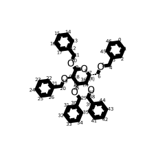 c1ccc(COC[C@H]2OC(OCc3ccccc3)[C@H](OCc3ccccc3)[C@@H](OCc3ccccc3)[C@H]2OCc2ccccc2)cc1